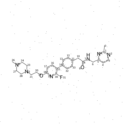 Cc1nccc(CNC(=O)Cc2ccc(-c3ccc(OCCN4CCN(C)CC4)nc3F)cc2)n1